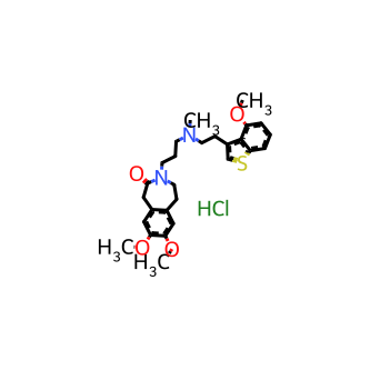 COc1cc2c(cc1OC)CC(=O)N(CCCN(C)CCc1csc3cccc(OC)c13)CC2.Cl